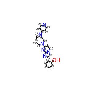 Oc1ccccc1-c1cn2ccc(N3CCC4CC(C3)N(c3ccncc3)C4)nc2n1